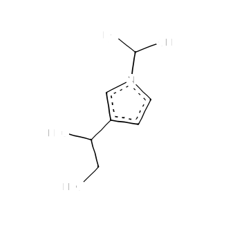 CCC(C)c1ccn(C(C)C)c1